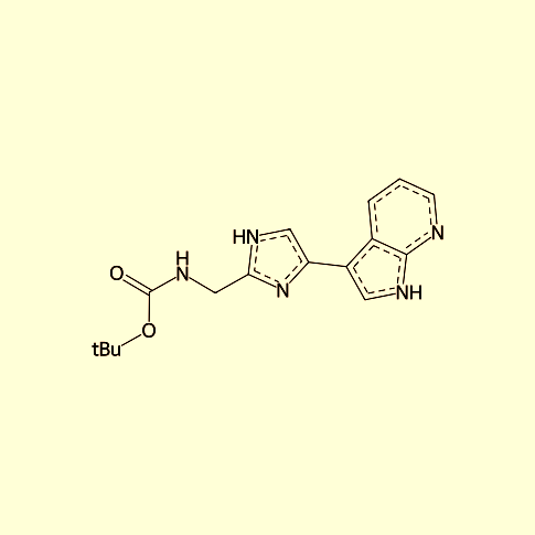 CC(C)(C)OC(=O)NCc1nc(-c2c[nH]c3ncccc23)c[nH]1